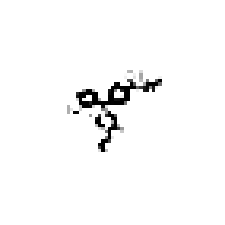 C=CCN1C[C@H](C)N([C@H](c2ccc(C(O)NCCC)cc2)c2cccc(O)c2)C[C@H]1C